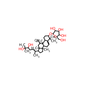 CC(CCC(O)C(C)(C)O)C1CCC2(C)C3CC=C4C(CCC(OC5OC(CO)C(O)C(O)C5O)C4(C)C)C3(C)C(N=O)CC12C